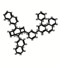 C1=C2C(c3ccc4ccccc4c3)=C3C=C4C3C(c3ccc5ccccc5c3)C2C14c1cccc(-c2cc(-c3ccccc3)c3c(ccc4ccccc43)n2)c1